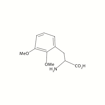 COc1cccc(CC(N)C(=O)O)c1OC